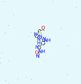 CC(=O)c1ccc(-c2nccc3[nH]c(-c4n[nH]c5ccc(-c6cncc(NC(=O)CN(C)C)c6)cc45)nc23)s1